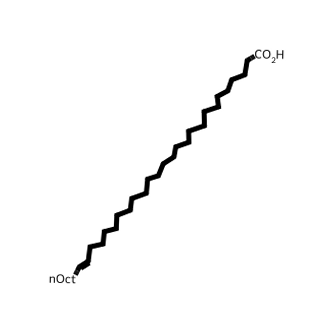 CCCCCCCCC=CCCCCCCCCCCCCCCCCCCCCCCCC(=O)O